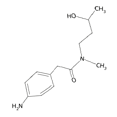 CC(O)CCN(C)C(=O)Cc1ccc(N)cc1